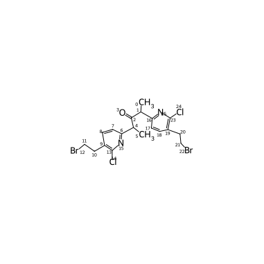 CC(C(=O)C(C)c1ccc(CCBr)c(Cl)n1)c1ccc(CCBr)c(Cl)n1